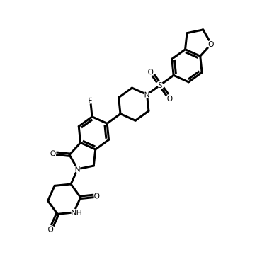 O=C1CCC(N2Cc3cc(C4CCN(S(=O)(=O)c5ccc6c(c5)CCO6)CC4)c(F)cc3C2=O)C(=O)N1